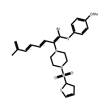 C=C(C)/C=C/C=C/C(=C(/Sc1ccc(OC)cc1)C(C)=O)N1CCN(S(=O)(=O)C2CC=CS2)CC1